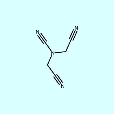 N#CCN(C#N)CC#N